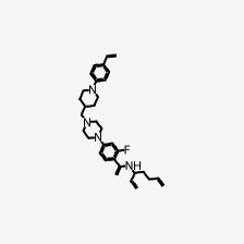 C=CCCC(C=C)NC(=C)c1ccc(N2CCN(CC3CCN(c4ccc(C=C)cc4)CC3)CC2)cc1F